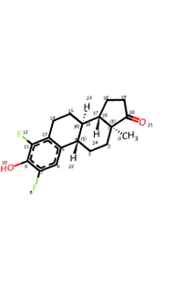 C[C@]12CC[C@@H]3c4cc(F)c(O)c(F)c4CC[C@H]3[C@@H]1CCC2=O